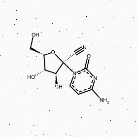 N#C[C@@]1(n2ccc(N)nc2=O)O[C@H](CO)[C@@H](O)[C@@H]1O